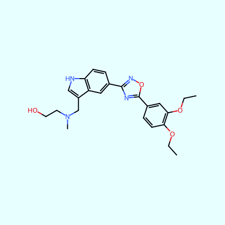 CCOc1ccc(-c2nc(-c3ccc4[nH]cc(CN(C)CCO)c4c3)no2)cc1OCC